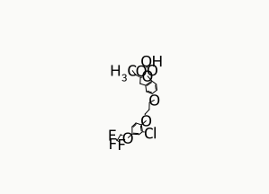 CC[C@]1(OC(=O)O)Cc2cc(OCCCOc3ccc(OCC(F)(F)F)cc3Cl)ccc2O1